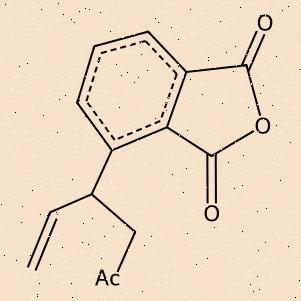 C=CC(CC(C)=O)c1cccc2c1C(=O)OC2=O